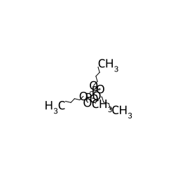 CCCCCOP(=O)(CP(=O)(OCCCCC)OCCCCC)OC